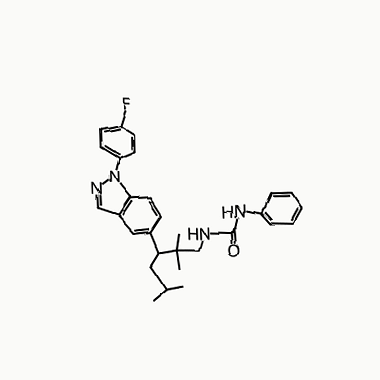 CC(C)CC(c1ccc2c(cnn2-c2ccc(F)cc2)c1)C(C)(C)CNC(=O)Nc1ccccc1